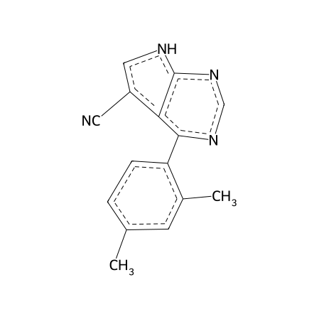 Cc1ccc(-c2ncnc3[nH]cc(C#N)c23)c(C)c1